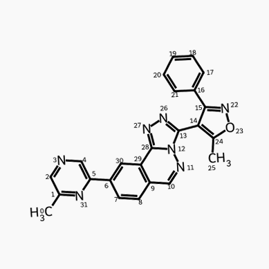 Cc1cncc(-c2ccc3cnn4c(-c5c(-c6ccccc6)noc5C)nnc4c3c2)n1